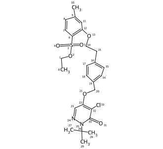 CCOS(=O)(=O)c1ccc(C)cc1OCCc1ccc(COc2cnn(C(C)(C)C)c(=O)c2Cl)cc1